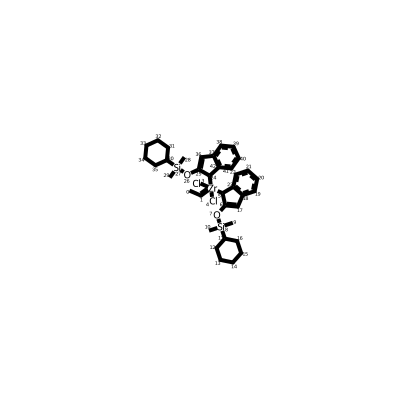 C[CH]=[Zr]([Cl])([Cl])([CH]1C(O[Si](C)(C)C2CCCCC2)=Cc2ccccc21)[CH]1C(O[Si](C)(C)C2CCCCC2)=Cc2ccccc21